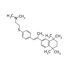 CC(=Cc1ccc(SCCN(C)C)cc1)c1ccc2c(c1)C(C)(C)CCC2(C)C